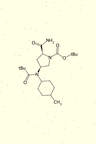 CC1CCC(N(C(=O)C(C)(C)C)[C@H]2C[C@@H](C(N)=O)N(C(=O)OC(C)(C)C)C2)CC1